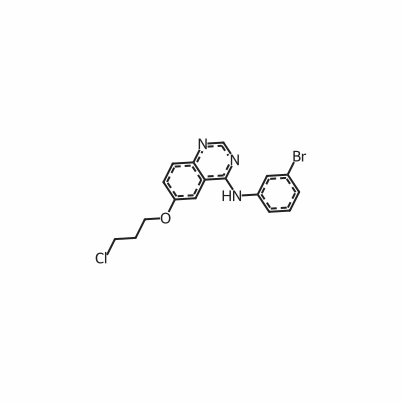 ClCCCOc1ccc2ncnc(Nc3cccc(Br)c3)c2c1